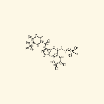 CS(=O)(=O)OCCC(Cn1ccnc1C(=O)c1ccc(F)c(C(F)(F)F)c1)c1ccc(Cl)c(Cl)c1